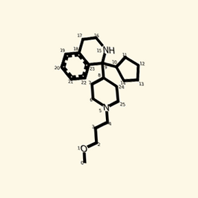 COCCCN1CCC(C2(C3CCCC3)NCCc3ccccc32)CC1